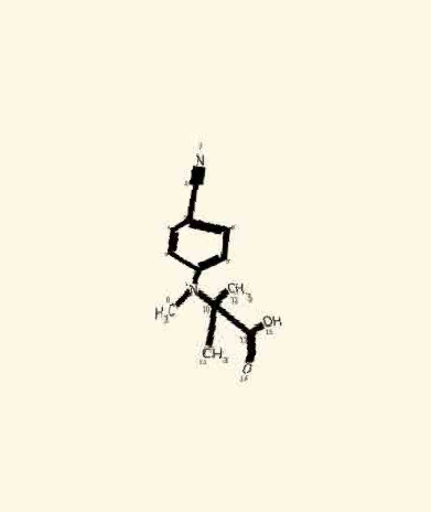 CN(c1ccc(C#N)cc1)C(C)(C)C(=O)O